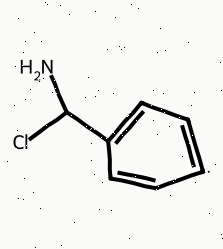 NC(Cl)c1cc[c]cc1